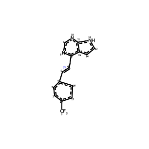 FC(F)(F)c1ccc(/C=C/c2ncnc3[nH]ccc23)cc1